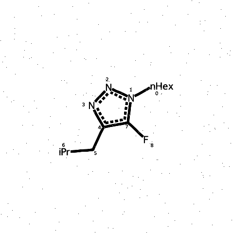 CCCCCCn1nnc(CC(C)C)c1F